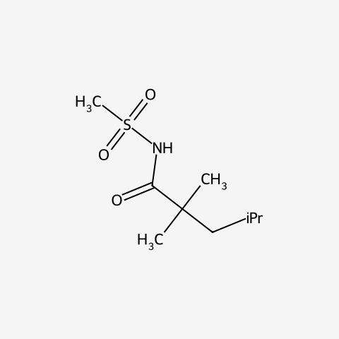 CC(C)CC(C)(C)C(=O)NS(C)(=O)=O